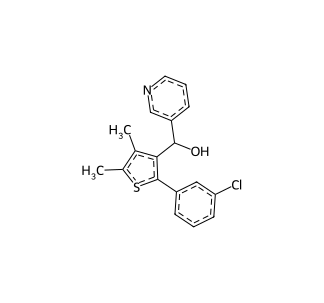 Cc1sc(-c2cccc(Cl)c2)c(C(O)c2cccnc2)c1C